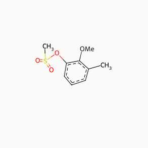 COc1c(C)cccc1OS(C)(=O)=O